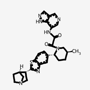 C[C@H]1CC[C@H](c2ccc3sc([C@@H]4CN5CC[C@@H]4C5)nc3c2)N(C(=O)C(=O)Nc2cncc3cn[nH]c23)C1